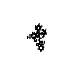 Cc1ccsc1-c1c(-c2cccnc2)c2nc[nH]c(=O)c2n1CCNC(=O)C1(C)CCCCC1